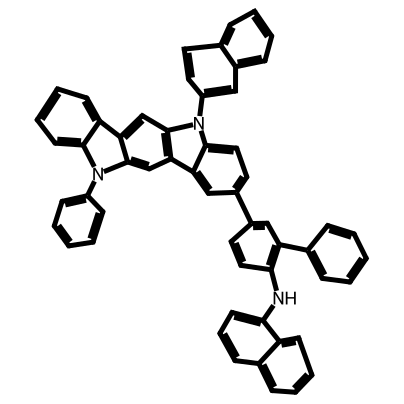 c1ccc(-c2cc(-c3ccc4c(c3)c3cc5c(cc3n4-c3ccc4ccccc4c3)c3ccccc3n5-c3ccccc3)ccc2Nc2cccc3ccccc23)cc1